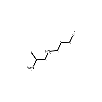 CNC(I)CNCCCCl